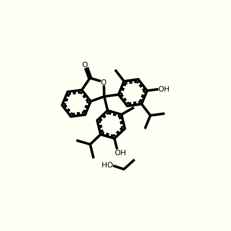 CCO.Cc1cc(O)c(C(C)C)cc1C1(c2cc(C(C)C)c(O)cc2C)OC(=O)c2ccccc21